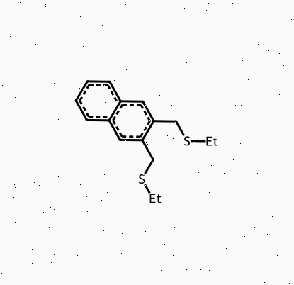 CCSCc1cc2ccccc2cc1CSCC